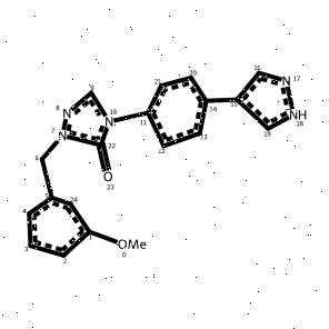 COc1cccc(Cn2ncn(-c3ccc(-c4cn[nH]c4)cc3)c2=O)c1